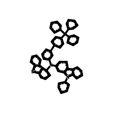 c1ccc(-n2c3ccccc3c3ccc(N(c4cccc(-c5ccc(C(c6ccccc6)(c6ccccc6)c6ccccc6)cc5)c4)c4cccc5sc6ccccc6c45)cc32)cc1